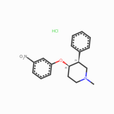 CN1CC[C@@H](Oc2cccc([N+](=O)[O-])c2)[C@@H](c2ccccc2)C1.Cl